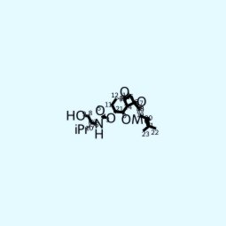 COC1C(OC(=O)N[C@@H](CO)C(C)C)CC[C@]23OC2C2(O[C@@H]2CC=C(C)C)C13